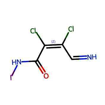 N=C/C(Cl)=C(/Cl)C(=O)NI